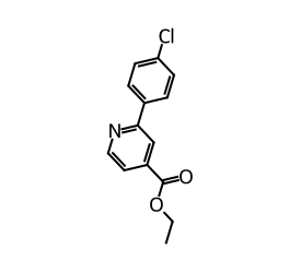 CCOC(=O)c1ccnc(-c2ccc(Cl)cc2)c1